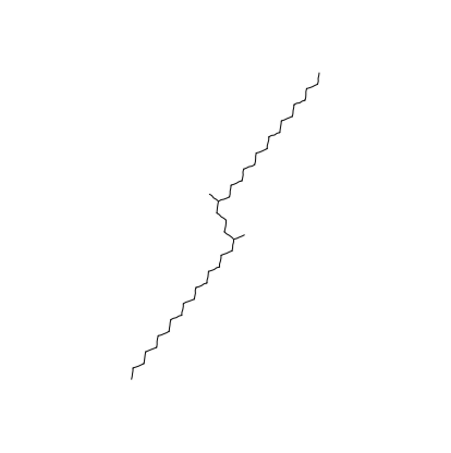 CCCCCCCCCCCCCCCCCC(C)CCCC(C)CCCCCCCCCCCCCCCC